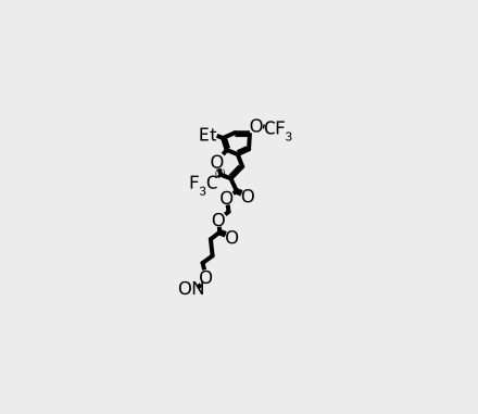 CCc1cc(OC(F)(F)F)cc2c1O[C@H](C(F)(F)F)C(C(=O)OCOC(=O)CCCON=O)=C2